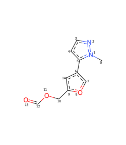 Cn1nccc1-c1coc(COC=O)c1